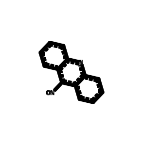 O=Nc1c2ccccc2nc2ccccc12